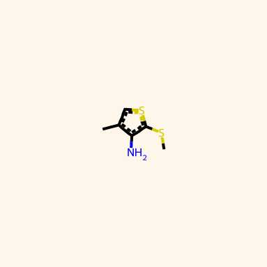 CSc1scc(C)c1N